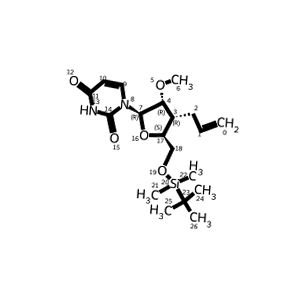 C=CC[C@H]1[C@@H](OC)[C@H](n2ccc(=O)[nH]c2=O)O[C@@H]1CO[Si](C)(C)C(C)(C)C